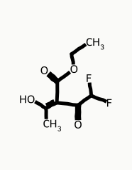 CCOC(=O)/C(C(=O)C(F)F)=C(/C)O